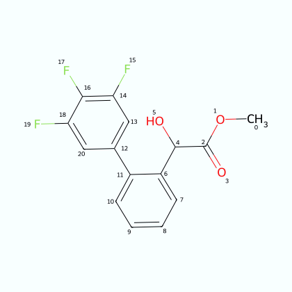 COC(=O)C(O)c1ccccc1-c1cc(F)c(F)c(F)c1